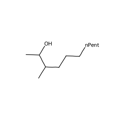 CCCCCCCCC(C)C(C)O